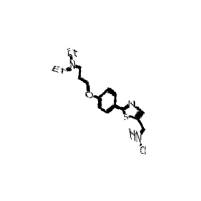 CCN(CC)CCCOc1ccc(-c2ncc(CNCl)s2)cc1